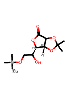 CC1(C)OC2C(=O)O[C@H](C(O)CO[Si](C)(C)C(C)(C)C)[C@H]2O1